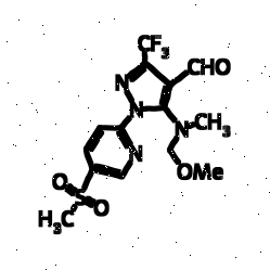 COCN(C)c1c(C=O)c(C(F)(F)F)nn1-c1ccc(S(C)(=O)=O)cn1